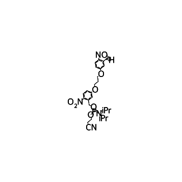 [2H]Cc1cc(OCCCOc2ccc([N+](=O)[O-])c(COP(OCCC#N)N(C(C)C)C(C)C)c2)ccc1[N+](=O)[O-]